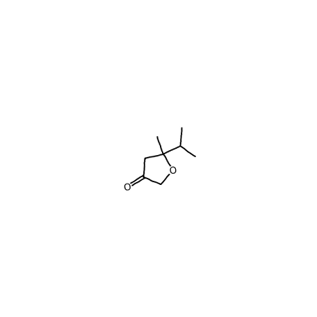 CC(C)C1(C)CC(=O)CO1